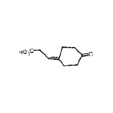 O=C(O)CC=C1CCC(=O)CC1